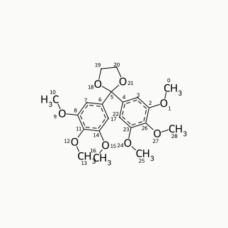 COc1cc(C2(c3cc(OC)c(OC)c(OC)c3)OCCO2)cc(OC)c1OC